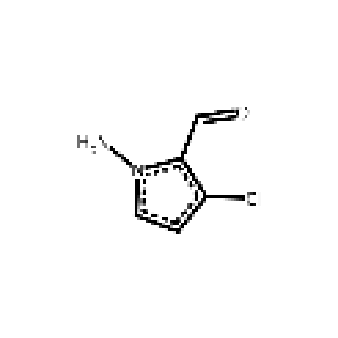 Nn1ccc(Cl)c1C=O